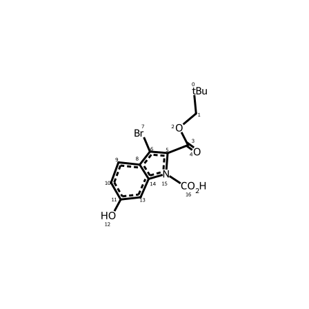 CC(C)(C)COC(=O)c1c(Br)c2ccc(O)cc2n1C(=O)O